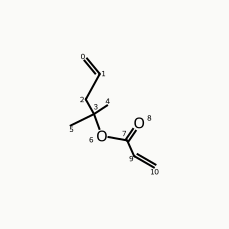 C=CCC(C)(C)OC(=O)C=C